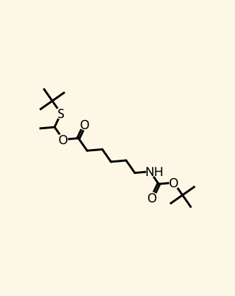 CC(OC(=O)CCCCCNC(=O)OC(C)(C)C)SC(C)(C)C